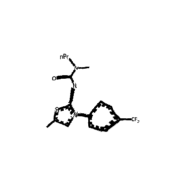 CCCN(C)C(=O)N=c1sc(C)cn1-c1ccc(C(F)(F)F)cc1